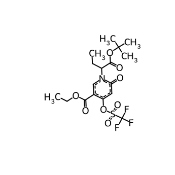 CCOC(=O)c1cn(C(CC)C(=O)OC(C)(C)C)c(=O)cc1OS(=O)(=O)C(F)(F)F